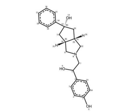 Oc1ccc(C(O)CN2C[C@@H]3C[C@@](O)(c4ccccc4)C[C@@H]3C2)cc1